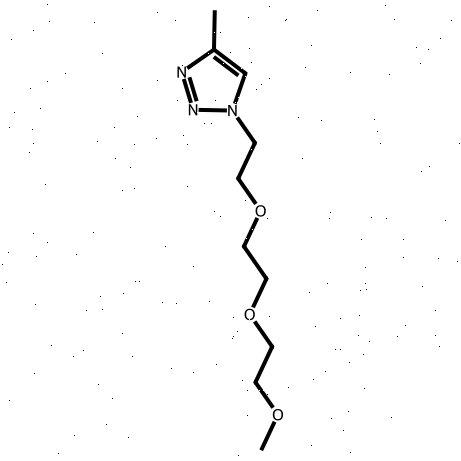 COCCOCCOCCn1cc(C)nn1